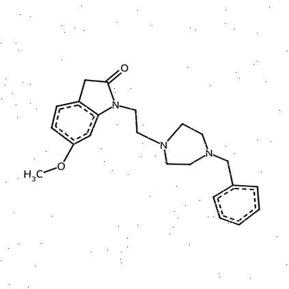 COc1ccc2c(c1)N(CCN1CCN(Cc3ccccc3)CC1)C(=O)C2